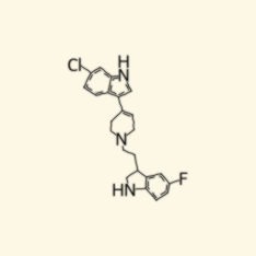 Fc1ccc2c(c1)C(CCN1CC=C(c3c[nH]c4cc(Cl)ccc34)CC1)CN2